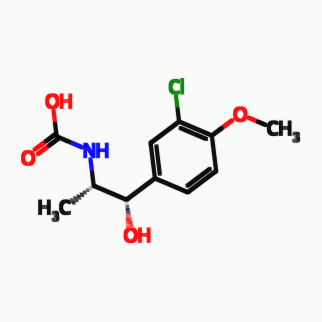 COc1ccc([C@H](O)[C@H](C)NC(=O)O)cc1Cl